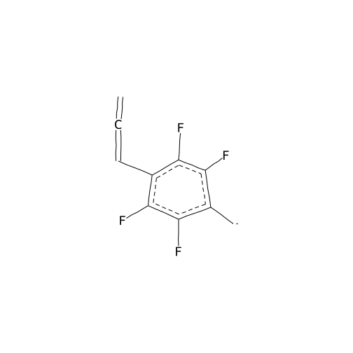 [CH2]c1c(F)c(F)c(C=C=C)c(F)c1F